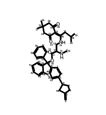 C=C1CCC(c2ccc(C(OC(=O)C(CNC(CC(C)C)=C3C(=O)CC(C)(C)CC3=O)NI)(c3ccccc3)c3ccccc3Cl)cc2)C1